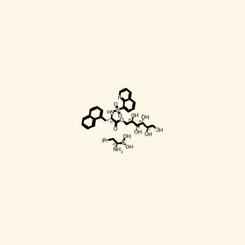 CC(C)C[C@H](N)B(O)O.O=C(OC[C@@H](O)[C@@H](O)[C@H](O)[C@H](O)CO)[C@H](Cc1cccc2ccccc12)NS(=O)(=O)c1cccc2cccnc12